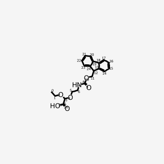 CCOC(OCCNC(=O)OCC1c2ccccc2-c2ccccc21)C(=O)O